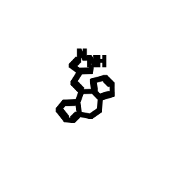 C(=C1c2ccccc2CCc2ccccc21)c1cn[nH]c1